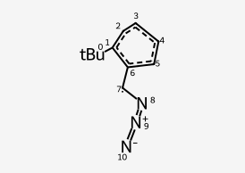 CC(C)(C)c1ccccc1[CH]N=[N+]=[N-]